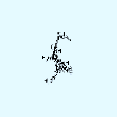 COCCOCCC(=O)N1CCN(C(=O)Oc2ccc(CNC(=O)CCCC/C=C/C(C)C)cc2OC)C(CN(C)C(=O)OC(C)(C)C)C1